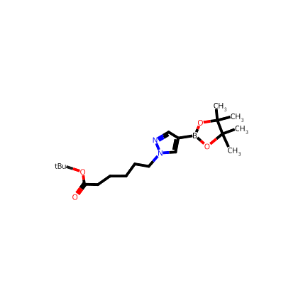 CC(C)(C)OC(=O)CCCCCn1cc(B2OC(C)(C)C(C)(C)O2)cn1